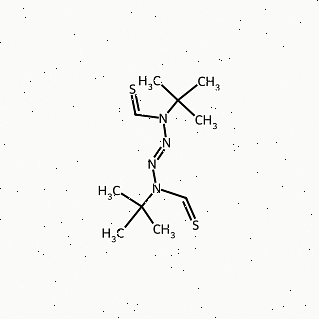 CC(C)(C)N(C=S)/N=N/N(C=S)C(C)(C)C